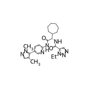 CCn1nncc1C(=O)N[C@H](C(=O)Nc1ccc(-c2c(C)cnn2C)cn1)C1CCCCCC1